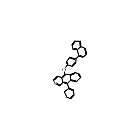 C1=CCCC(c2c3ccccc3c(Oc3ccc(-c4cccc5ccccc45)cc3)c3ccncc23)=C1